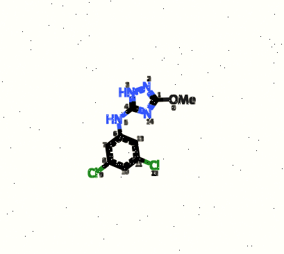 COc1n[nH]c(Nc2cc(Cl)cc(Cl)c2)n1